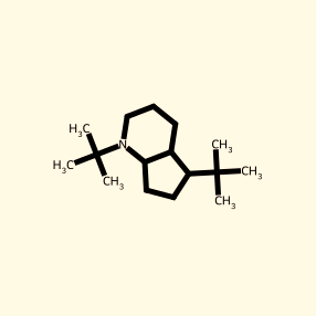 CC(C)(C)C1CCC2C1CCCN2C(C)(C)C